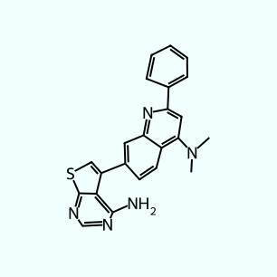 CN(C)c1cc(-c2ccccc2)nc2cc(-c3csc4ncnc(N)c34)ccc12